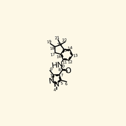 Cc1nn(C)c(C)c1C(=O)Nc1cccc2c1CC(C)C2(C)C